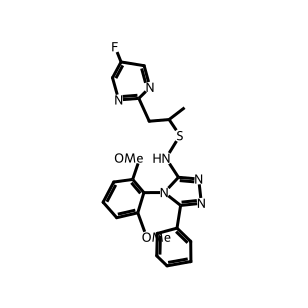 COc1cccc(OC)c1-n1c(NSC(C)Cc2ncc(F)cn2)nnc1-c1ccccc1